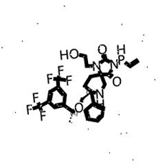 C=CPN1C(=O)N(CCO)C2(CC[C@@](CO[C@H](C)c3cc(C(F)(F)F)cc(C(F)(F)F)c3)(c3ccccc3)NC2)C1=O